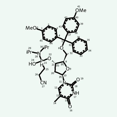 COc1ccc(C(OC[C@H]2O[C@@H](n3cc(C)c(=O)[nH]c3=O)C[C@@H]2O[PH](O)(CCC#N)N(C(C)C)C(C)C)(c2ccccc2)c2ccc(OC)cc2)cc1